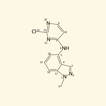 Cn1ncc2c(Nc3ccnc(Cl)n3)cccc21